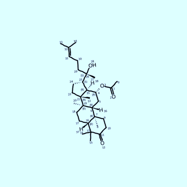 CC(=O)O[C@@H]1C[C@@H]2[C@@]3(C)CCC(=O)C(C)(C)[C@@H]3CC[C@@]2(C)[C@]2(C)CC[C@H]([C@@](C)(O)CCC=C(C)C)[C@@H]12